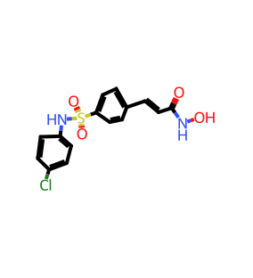 O=C(/C=C/c1ccc(S(=O)(=O)Nc2ccc(Cl)cc2)cc1)NO